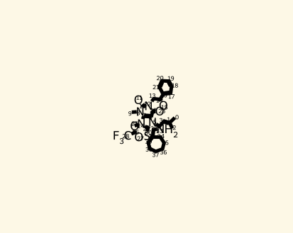 CC(C)=CCN1c2c(n(C)c(=O)n(CC(=O)c3ccccc3)c2=O)N(OC(=O)C(F)(F)F)C1SC1(CN)CCCCCC1